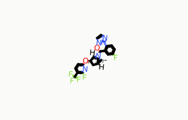 C[C@@H]1[C@H]2C[C@@H](Oc3ccc(C(F)(F)F)c(F)n3)[C@H](C2)N1C(=O)c1cc(F)ccc1-n1nccn1